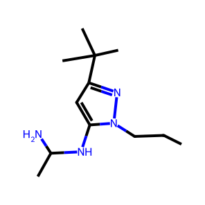 CCCn1nc(C(C)(C)C)cc1NC(C)N